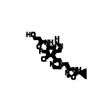 C=N/C(=C\N1C=C(c2c(Cl)c(F)c(NC(=O)CCO)c3[nH]ncc23)N=CC1)NC(=O)C1CC1